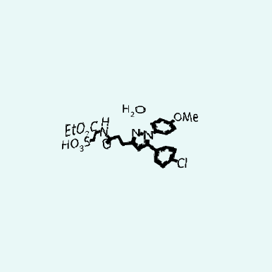 CCOC(=O)[C@H](CS(=O)(=O)O)NC(=O)CCc1cc(-c2ccc(Cl)cc2)n(-c2ccc(OC)cc2)n1.O